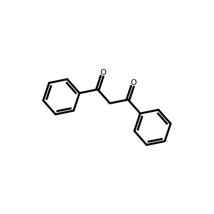 O=C(CC(=O)c1ccccc1)c1cc[c]cc1